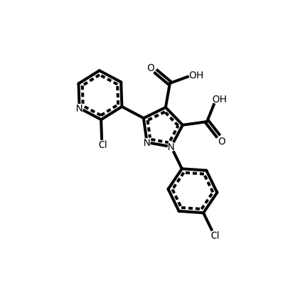 O=C(O)c1c(-c2cccnc2Cl)nn(-c2ccc(Cl)cc2)c1C(=O)O